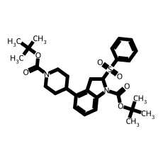 CC(C)(C)OC(=O)N1CCC(c2cccc3c2CC(S(=O)(=O)c2ccccc2)N3C(=O)OC(C)(C)C)CC1